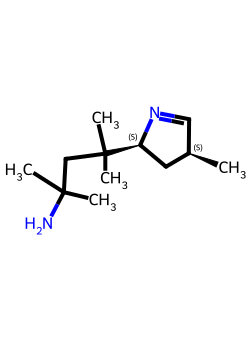 C[C@@H]1C=N[C@H](C(C)(C)CC(C)(C)N)C1